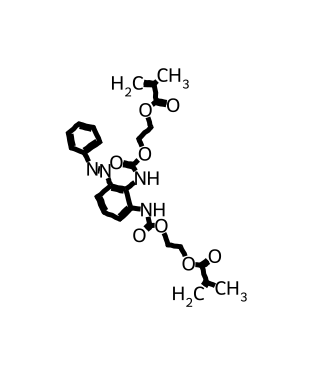 C=C(C)C(=O)OCCOC(=O)Nc1cccc(N=Nc2ccccc2)c1NC(=O)OCCOC(=O)C(=C)C